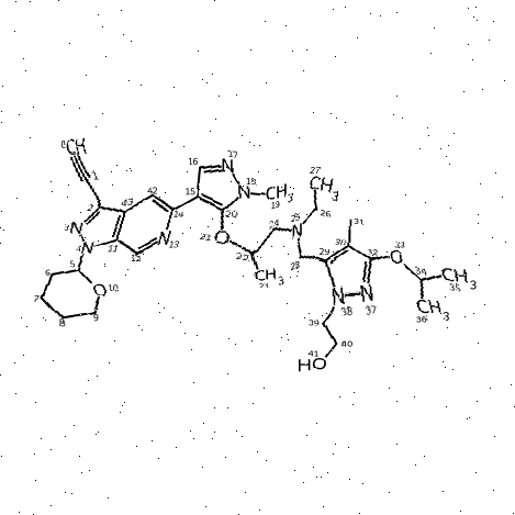 C#Cc1nn(C2CCCCO2)c2cnc(-c3cnn(C)c3OC(C)CN(CC)Cc3c(I)c(OC(C)C)nn3CCO)cc12